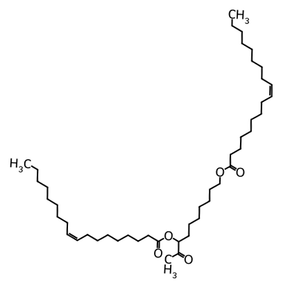 CCCCCCCC/C=C\CCCCCCCC(=O)OCCCCCCCC(OC(=O)CCCCCCC/C=C\CCCCCCCC)C(C)=O